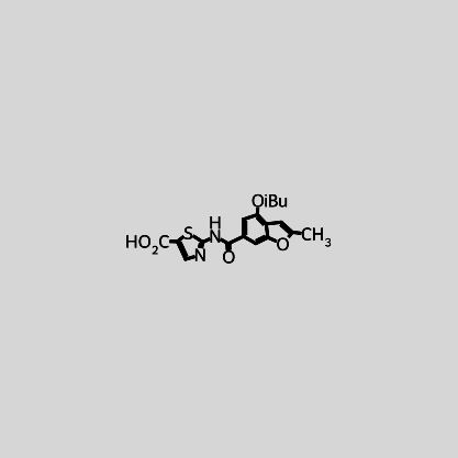 Cc1cc2c(OCC(C)C)cc(C(=O)Nc3ncc(C(=O)O)s3)cc2o1